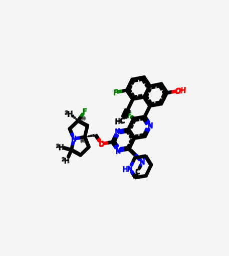 [2H]C1([2H])CC[C@]2(COc3nc(N4CC5CCC4CN5)c4cnc(-c5cc(O)cc6ccc(F)c(C#C)c56)c(F)c4n3)C[C@]([2H])(F)CN12